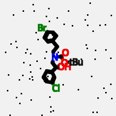 CC(C)(C)OC(=O)N(CCc1ccc(Br)cc1)C[C@@H](O)c1cccc(Cl)c1